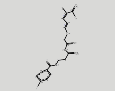 C=C(CCNC(=O)c1ccc(F)cn1)NC(=O)CO/C=C/C=C(/Cl)C(=C)F